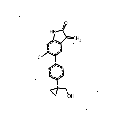 C=C1C(=O)Nc2cc(Cl)c(-c3ccc(C4(CO)CC4)cc3)cc21